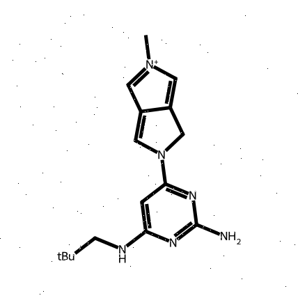 C[N+]1=CC2=CN(c3cc(NCC(C)(C)C)nc(N)n3)CC2=C1